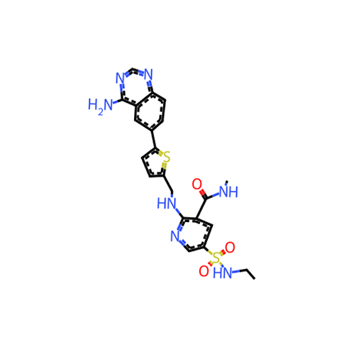 CCNS(=O)(=O)c1cnc(NCc2ccc(-c3ccc4ncnc(N)c4c3)s2)c(C(=O)NC)c1